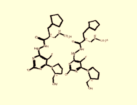 O=C(O)NC[C@@H](CC1CCCC1)C(=O)NNc1nc(Cl)nc(N2CCC[C@H]2CO)c1F.O=C(O)NC[C@@H](CC1CCCC1)C(=O)NNc1nc(Cl)nc(N2CCC[C@H]2CO)c1F